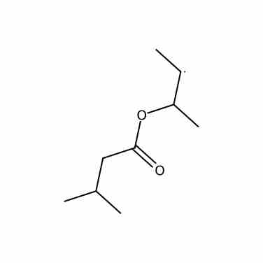 C[CH]C(C)OC(=O)CC(C)C